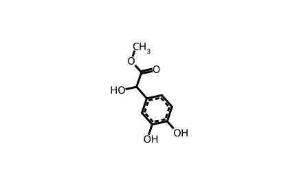 COC(=O)C(O)c1ccc(O)c(O)c1